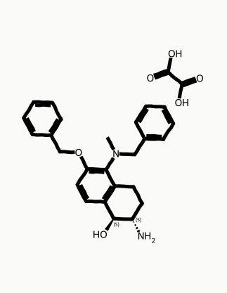 CN(Cc1ccccc1)c1c(OCc2ccccc2)ccc2c1CC[C@H](N)[C@H]2O.O=C(O)C(=O)O